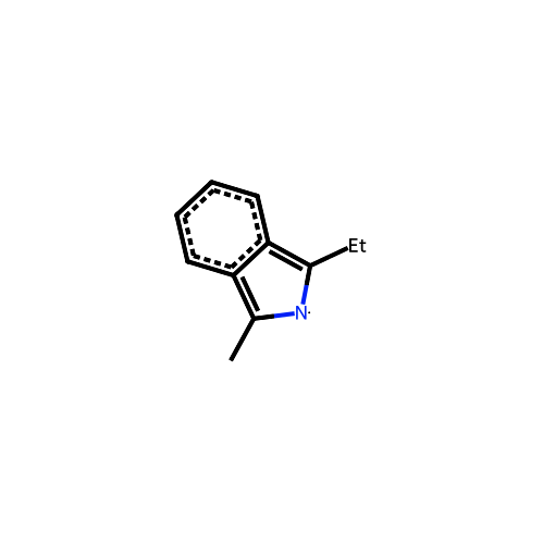 CCC1=c2ccccc2=C(C)[N]1